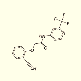 C#Cc1ccccc1OCC(=O)Nc1ccnc(C(F)(F)F)c1